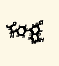 CC(=O)NC1CC=C(c2cc(Cl)cc3[nH]ncc23)CC1